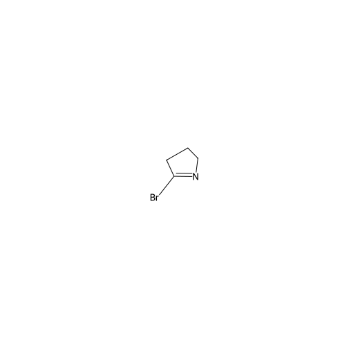 BrC1=NCCC1